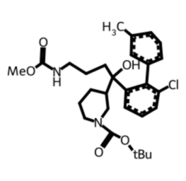 COC(=O)NCCCC(O)(c1cccc(Cl)c1-c1cccc(C)c1)C1CCCN(C(=O)OC(C)(C)C)C1